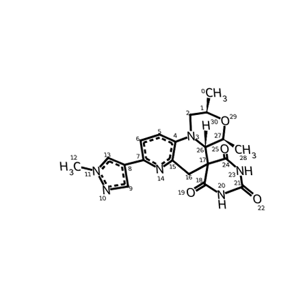 C[C@@H]1CN2c3ccc(-c4cnn(C)c4)nc3CC3(C(=O)NC(=O)NC3=O)[C@H]2[C@H](C)O1